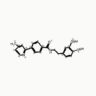 COc1ccc(CCNC(=O)c2ccc(-c3cc(C)ccn3)cc2)cc1OC